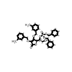 Cc1cccc(COC2=C(OCc3cccc(C)c3)[C@@H]([C@H](CO)OP(=O)(OCc3ccccc3)OCc3ccccc3)OC2=O)c1